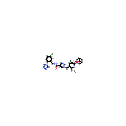 COC1C2CC1CN(c1ccc(Cn3cc(C(=O)NCc4cc(Cl)ccc4-n4cnnn4)cn3)c(C)n1)C2